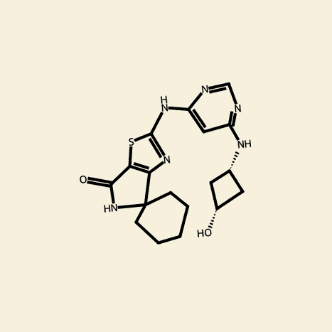 O=C1NC2(CCCCC2)c2nc(Nc3cc(N[C@H]4C[C@@H](O)C4)ncn3)sc21